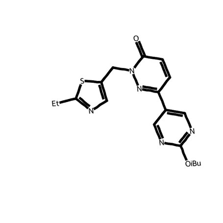 CCc1ncc(Cn2nc(-c3cnc(OCC(C)C)nc3)ccc2=O)s1